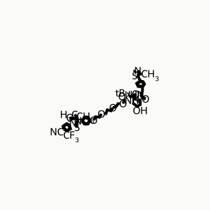 Cc1ncsc1-c1ccc(CNC(=O)[C@@H]2C[C@@H](O)CN2C(=O)[C@@H](NC(=O)OCCOCCCOCCOc2ccc(N3C(=S)N(c4ccc(C#N)c(C(F)(F)F)c4)C(=O)C3(C)C)cc2)C(C)(C)C)cc1